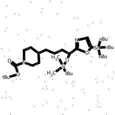 CCC[CH2][Sn]([CH2]CCC)([CH2]CCC)[c]1cnc(C(CCCC2CCN(C(=O)OC(C)(C)C)CC2)O[Si](C)(C)C(C)(C)C)o1